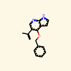 C=C(C)c1cnc2[nH]ccc2c1OCc1ccccc1